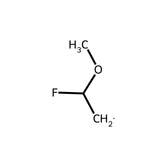 [CH2]C(F)OC